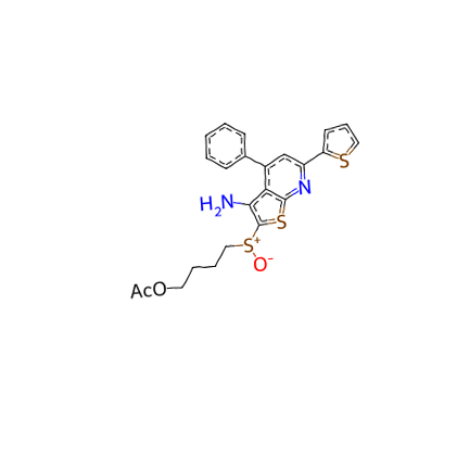 CC(=O)OCCCC[S+]([O-])c1sc2nc(-c3cccs3)cc(-c3ccccc3)c2c1N